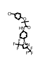 CC(C)(Oc1ccc(Cl)cc1)C(=O)Nc1ccc(-n2nc(C(F)(F)F)cc2C(F)(F)F)cc1